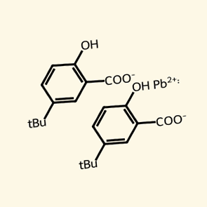 CC(C)(C)c1ccc(O)c(C(=O)[O-])c1.CC(C)(C)c1ccc(O)c(C(=O)[O-])c1.[Pb+2]